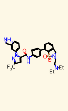 CCN(CC)CCN1Cc2cccc(-c3ccc(NC(=O)c4cc(C(F)(F)F)nn4-c4cccc(CN)c4)cc3)c2S1(=O)=O